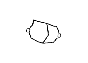 C1OCC2COCC1C2